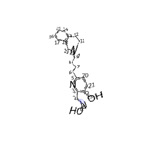 O/N=C/c1nc(CCCCN2CCc3ccccc3C2)ccc1O